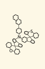 c1ccc2c(c1)Oc1ccccc1C21c2ccccc2-c2c(N(c3ccc(-c4ccc5ccccc5c4)cc3)c3ccc4c(c3)C3(c5ccccc5Sc5ccccc53)c3ccccc3-4)cccc21